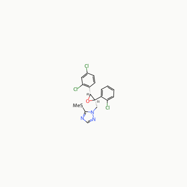 CSc1ncnn1C[C@]1(c2ccccc2Cl)O[C@@H]1c1ccc(Cl)cc1Cl